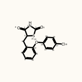 O=C1NC(=O)C(Cc2ccccc2Oc2ccc(Cl)cc2)S1